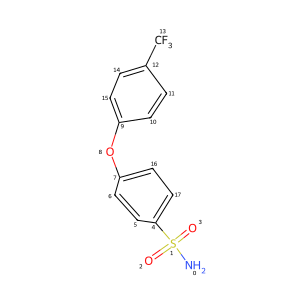 NS(=O)(=O)c1ccc(Oc2ccc(C(F)(F)F)cc2)cc1